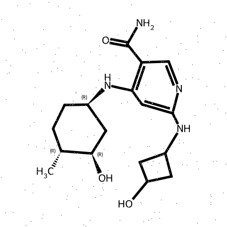 C[C@@H]1CC[C@@H](Nc2cc(NC3CC(O)C3)ncc2C(N)=O)C[C@H]1O